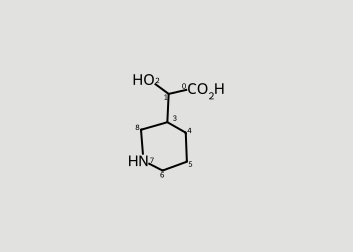 O=C(O)C(O)C1CCCNC1